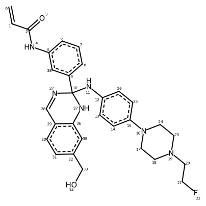 C=CC(=O)Nc1cccc(C2(Nc3ccc(N4CCN(CCF)CC4)cc3)N=Cc3ccc(CO)cc3N2)c1